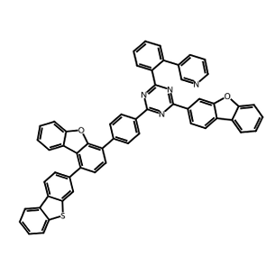 c1cncc(-c2ccccc2-c2nc(-c3ccc(-c4ccc(-c5ccc6c(c5)sc5ccccc56)c5c4oc4ccccc45)cc3)nc(-c3ccc4c(c3)oc3ccccc34)n2)c1